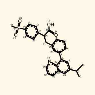 CC(C)c1cc(-c2cccc(CC(C(=O)O)c3ccc(S(C)(=O)=O)cc3)c2)c2ncccc2c1